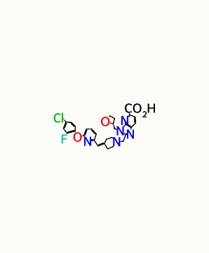 O=C(O)c1ccc2nc(CN3CCC(=Cc4cccc(Oc5ccc(Cl)cc5F)n4)CC3)n(C[C@@H]3CCO3)c2n1